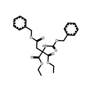 CCOC(=O)C(CC(=O)OCc1ccccc1)(NC(=O)OCc1ccccc1)C(=O)OCC